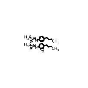 CCCCc1ccc(N=N[N+](C)=O)cc1.CCCCc1ccc(N=N[N+](C)=O)cc1.[Pd]